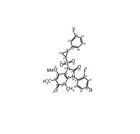 COc1c(C)c(=O)n(C)c2c1n(S(=O)(=O)C1CC1c1cccc(F)c1)c(=O)n2-c1ccc(I)cc1F